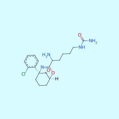 NC(=O)NCCCCC(N)C1=N[C@]2(c3ccccc3Cl)CCC[C@H](O1)C2=O